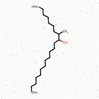 CCCCCCCCCCCCCCCCCCCCCC(O)C(C)CCCCCCCCCCCCCCCC